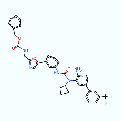 Nc1ccc(-c2cccc(C(F)(F)F)c2)cc1N(C(=O)Nc1cccc(-c2cnc(CNC(=O)OCc3ccccc3)o2)c1)C1CCC1